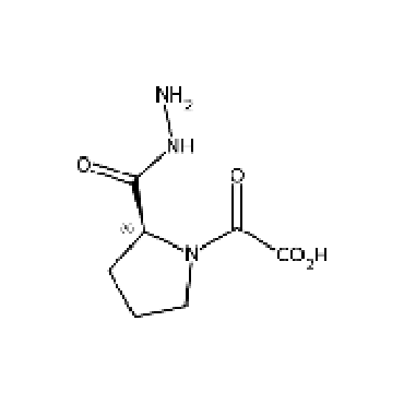 NNC(=O)[C@@H]1CCCN1C(=O)C(=O)O